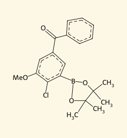 COc1cc(C(=O)c2ccccc2)cc(B2OC(C)(C)C(C)(C)O2)c1Cl